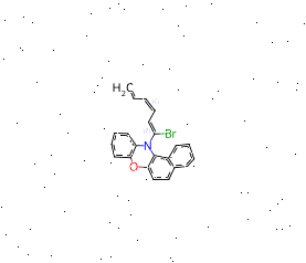 C=C/C=C\C=C(/Br)N1c2ccccc2Oc2ccc3ccccc3c21